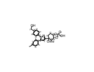 COC1(c2cc(-c3ccc(C)cc3)n(-c3ccc(CO)cc3)n2)CCC(OP(=O)(O)O)CC1